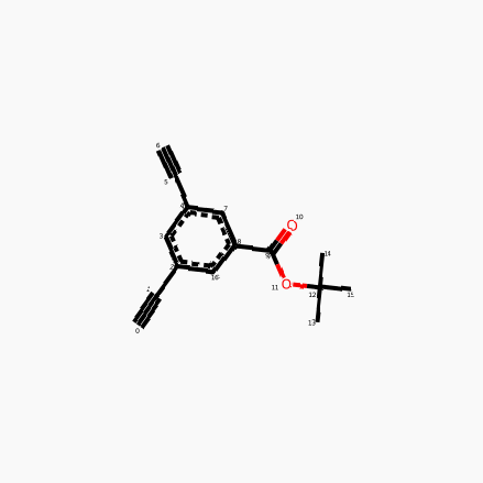 C#Cc1cc(C#C)cc(C(=O)OC(C)(C)C)c1